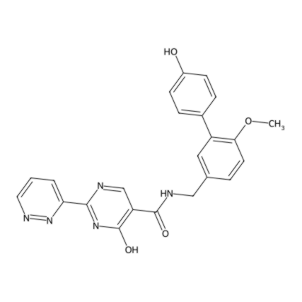 COc1ccc(CNC(=O)c2cnc(-c3cccnn3)nc2O)cc1-c1ccc(O)cc1